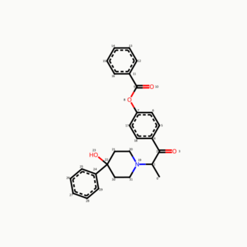 CC(C(=O)c1ccc(OC(=O)c2ccccc2)cc1)N1CCC(O)(c2ccccc2)CC1